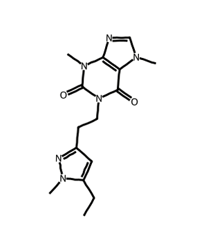 CCc1cc(CCn2c(=O)c3c(ncn3C)n(C)c2=O)nn1C